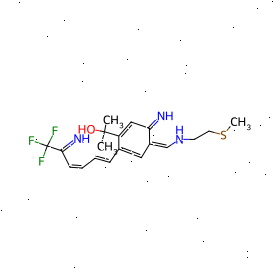 CSCCN/C=C1C=C(/C=C/C=C\C(=N)C(F)(F)F)C(C(C)(C)O)=CC/1=N